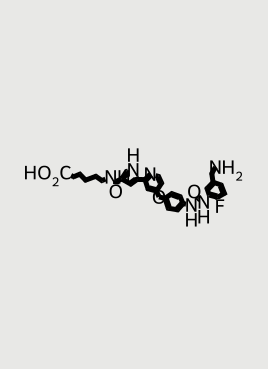 NCc1ccc(F)c(NC(=O)Nc2ccc(Oc3ccnc(-c4cc(C(=O)NCCCCCC(=O)O)c[nH]4)c3)cc2)c1